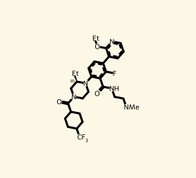 CCOc1ncccc1-c1ccc(N2CCN(C(=O)C3CCC(C(F)(F)F)CC3)C[C@H]2CC)c(C(=O)NCCNC)c1F